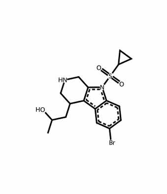 CC(O)CC1CNCc2c1c1cc(Br)ccc1n2S(=O)(=O)C1CC1